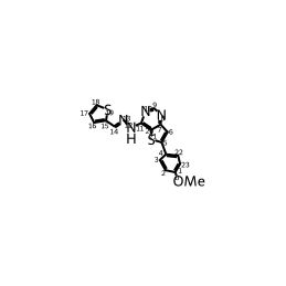 COc1ccc(-c2cc3ncnc(NN=Cc4cccs4)c3s2)cc1